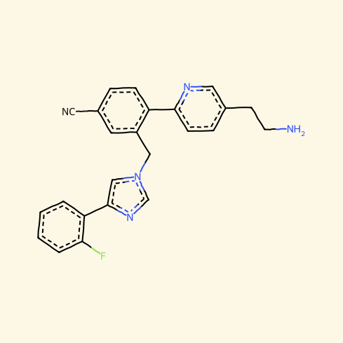 N#Cc1ccc(-c2ccc(CCN)cn2)c(Cn2cnc(-c3ccccc3F)c2)c1